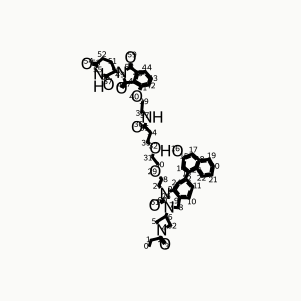 CCC(=O)N1CC(N2Cc3ccc(-c4cc(O)cc5ccccc45)cc3N(CCOCCOCCC(=O)NCCOc3cccc4c3C(=O)N(C3CCC(=O)NC3=O)C4=O)C2=O)C1